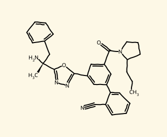 CCCC1CCCN1C(=O)c1cc(-c2nnc([C@](C)(N)Cc3ccccc3)o2)cc(-c2ccccc2C#N)c1